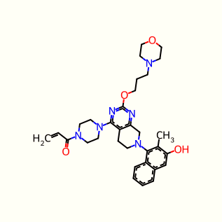 C=CC(=O)N1CCN(c2nc(OCCCN3CCOCC3)nc3c2CCN(c2c(C)c(O)cc4ccccc24)C3)CC1